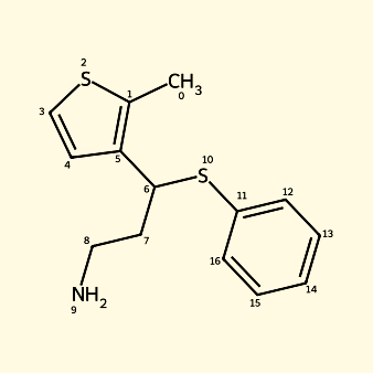 Cc1sccc1C(CCN)Sc1ccccc1